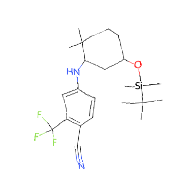 CC1(C)CCC(O[Si](C)(C)C(C)(C)C)CC1Nc1ccc(C#N)c(C(F)(F)F)c1